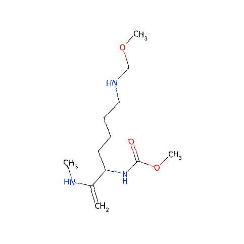 C=C(NC)C(CCCCNCOC)NC(=O)OC